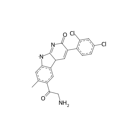 Cc1cc2c(cc1C(=O)CN)C1C=C(c3ccc(Cl)cc3Cl)C(=O)N=C1[N]2